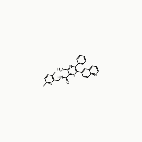 Cc1ccc(C)c(CNC(=O)c2nc(-c3ccc4ncccc4c3)c(-c3ccccc3)nc2N)n1